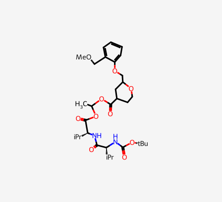 COCc1ccccc1OCC1CC(C(=O)OC(C)OC(=O)[C@@H](NC(=O)[C@@H](NC(=O)OC(C)(C)C)C(C)C)C(C)C)CCO1